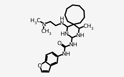 CC1NC(NC(=O)Nc2ccc3occc3c2)NC(NCCN(C)C)C12CCCCCCCC2